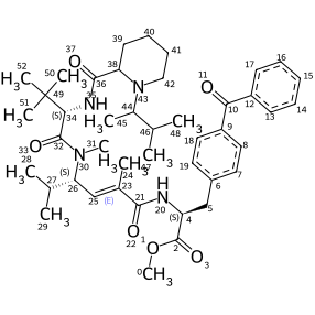 COC(=O)[C@H](Cc1ccc(C(=O)c2ccccc2)cc1)NC(=O)/C(C)=C/[C@H](C(C)C)N(C)C(=O)[C@@H](NC(=O)C1CCCCN1C(C)C(C)C)C(C)(C)C